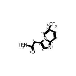 NC(=O)Cc1cnc2ccc(C(F)(F)F)cn12